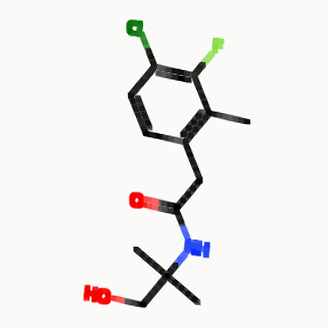 Cc1c(CC(=O)NC(C)(C)CO)ccc(Cl)c1F